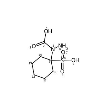 NN(C(=O)O)C1(S(=O)(=O)O)CCCCC1